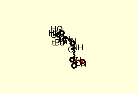 CC(C)(C)[Si](C)(C)OC(CNCc1ccc(NC(=O)CCCc2cccc(C3(C(=O)O[C@H]4CN5CCC4CC5)CCCCC3)c2)cn1)c1ccc(O)c2[nH]c(=O)ccc12